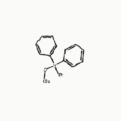 CC(C)[Si](OC(C)(C)C)(c1ccccc1)c1ccccc1